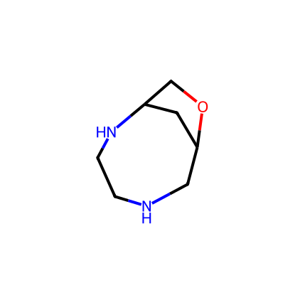 C1CNC2COC(CN1)C2